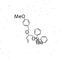 COc1ccc(CO[C@H](CI)CO[Si](c2ccccc2)(c2ccccc2)C(C)(C)C)cc1